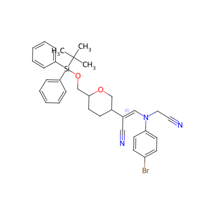 CC(C)(C)[Si](OCC1CCC(/C(C#N)=C/N(CC#N)c2ccc(Br)cc2)CO1)(c1ccccc1)c1ccccc1